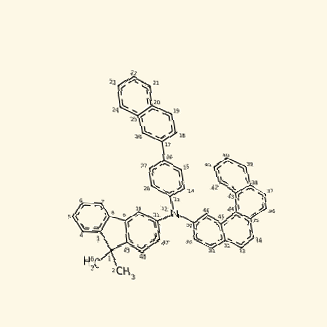 CC1(C)c2ccccc2-c2cc(N(c3ccc(-c4ccc5ccccc5c4)cc3)c3ccc4ccc5ccc6ccccc6c5c4c3)ccc21